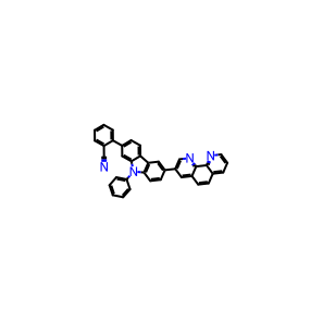 N#Cc1ccccc1-c1ccc2c3cc(-c4cnc5c(ccc6cccnc65)c4)ccc3n(-c3ccccc3)c2c1